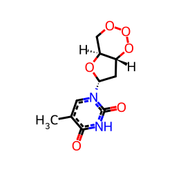 Cc1cn([C@H]2C[C@H]3OOOC[C@@H]3O2)c(=O)[nH]c1=O